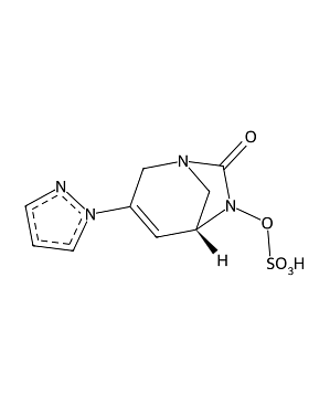 O=C1N2CC(n3cccn3)=C[C@H](C2)N1OS(=O)(=O)O